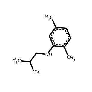 Cc1ccc(C)c(NCC(C)C)c1